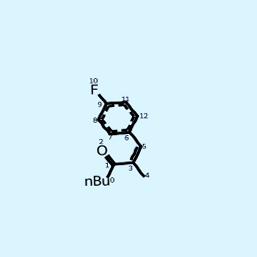 CCCCC(=O)C(C)=Cc1ccc(F)cc1